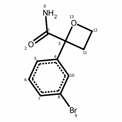 NC(=O)C1(c2cccc(Br)c2)CCO1